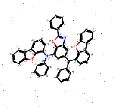 c1ccc(-c2nc3cc(C(c4ccccc4)c4cccc5c4oc4ccccc45)cc(N(c4ccccc4)c4cccc5c4oc4ccccc45)c3o2)cc1